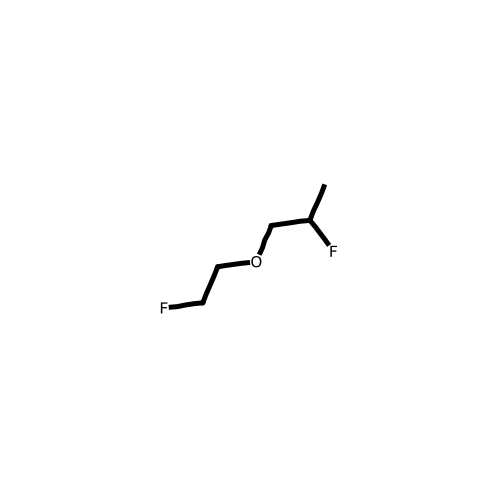 CC(F)COCCF